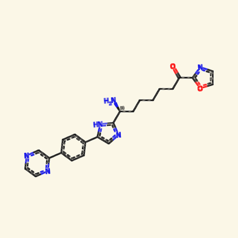 N[C@@H](CCCCCC(=O)c1ncco1)c1ncc(-c2ccc(-c3cnccn3)cc2)[nH]1